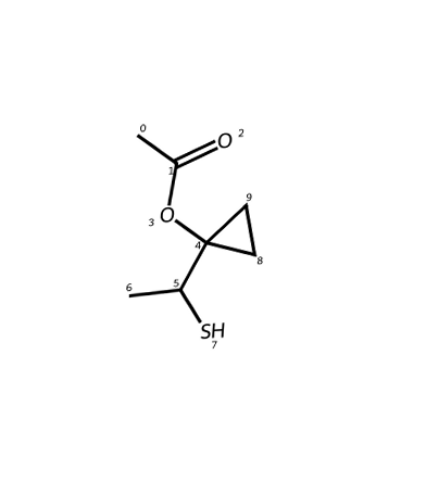 CC(=O)OC1(C(C)S)CC1